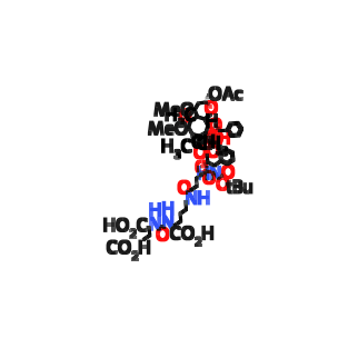 CO[C@H]1C(=O)[C@]2(C)[C@@H](OC)C[C@H](COC(C)=O)OC[C@H]2[C@H](OC(=O)c2ccccc2)[C@]2(O)C[C@H](OC(=O)[C@H](OC(=O)CCC(=O)NCCCC[C@H](NC(=O)N[C@@H](CCC(=O)O)C(=O)O)C(=O)O)[C@@H](NC(=O)OC(C)(C)C)c3ccccc3)C(C)=C1C2(C)C